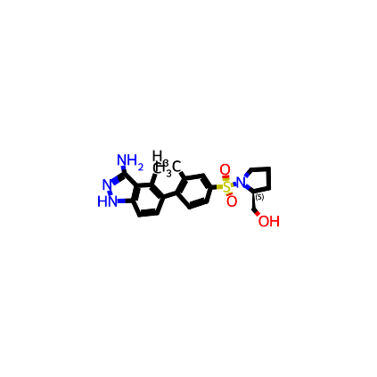 Cc1cc(S(=O)(=O)N2CCC[C@H]2CO)ccc1-c1ccc2[nH]nc(N)c2c1C